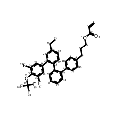 C=CC(=O)OCCCc1ccc(-c2ccccc2-c2ccc(CC)cc2-c2cc(F)c(OC(F)(F)F)c(F)c2)cc1